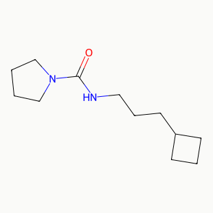 O=C(NCCCC1CCC1)N1CCCC1